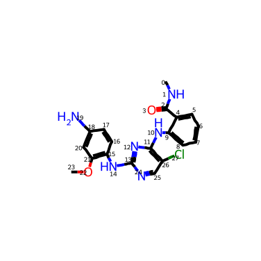 CNC(=O)c1ccccc1Nc1nc(Nc2ccc(N)cc2OC)ncc1Cl